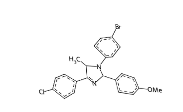 COc1ccc(C2N=C(c3ccc(Cl)cc3)C(C)N2c2ccc(Br)cc2)cc1